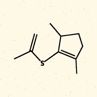 C=C(C)SC1=C(C)CCC1C